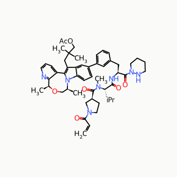 C=CC(=O)N1CC[C@H](C(=O)N(C)[C@H](C(=O)N[C@@H](Cc2cccc(-c3ccc4c(c3)c(CC(C)(C)COC(C)=O)c3n4[C@@H](C)CO[C@@H](C)c4ncccc4-3)c2)C(=O)N2CCCCN2)C(C)C)C1